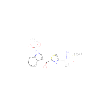 CC[C@H](N[S@@+]([O-])C(C)(C)C)c1csc(C(=O)c2cn(C(=O)OC(C)(C)C)c3ccccc23)n1